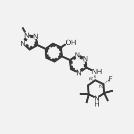 Cn1ncc(-c2ccc(-c3cnc(N[C@H]4CC(C)(C)NC(C)(C)[C@H]4F)nn3)c(O)c2)n1